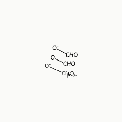 O=C[O-].O=C[O-].O=C[O-].[Pr+3]